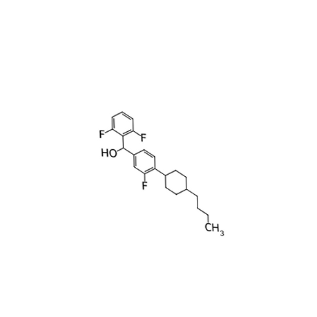 CCCCC1CCC(c2ccc(C(O)c3c(F)cccc3F)cc2F)CC1